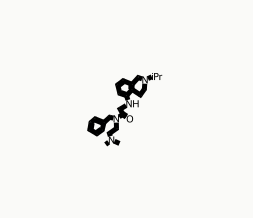 CC(C)N1CCc2c(cccc2NCC(=O)N(CCN(C)C)Cc2ccccc2)C1